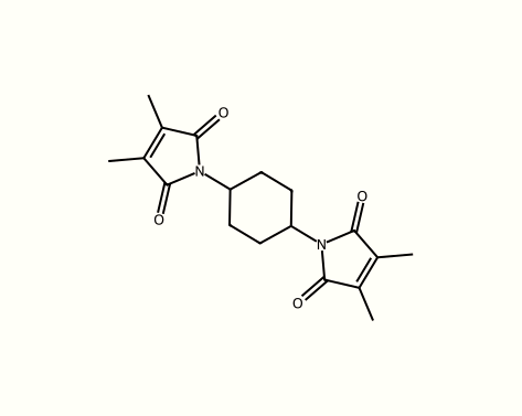 CC1=C(C)C(=O)N(C2CCC(N3C(=O)C(C)=C(C)C3=O)CC2)C1=O